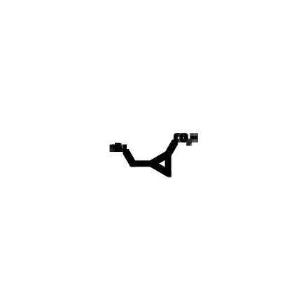 CCCCCC1CC1C(=O)O